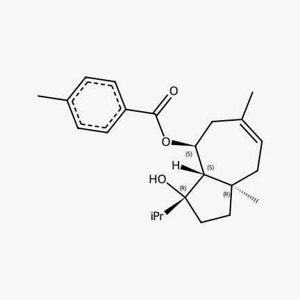 CC1=CC[C@@]2(C)CC[C@@](O)(C(C)C)[C@@H]2[C@@H](OC(=O)c2ccc(C)cc2)C1